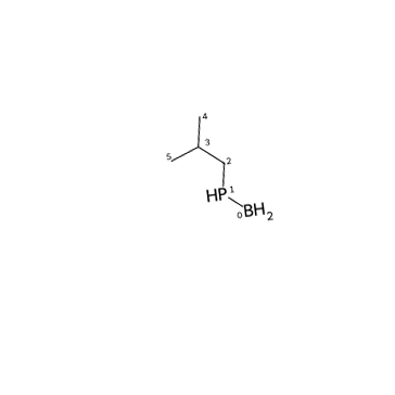 BPCC(C)C